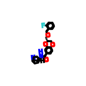 O=C(N[C@H]1CN2CCC1CC2)c1ccc2c(c1)O[C@H](COCc1ccccc1F)CO2